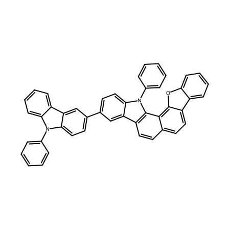 c1ccc(-n2c3ccccc3c3cc(-c4ccc5c(c4)c4ccc6ccc7c8ccccc8oc7c6c4n5-c4ccccc4)ccc32)cc1